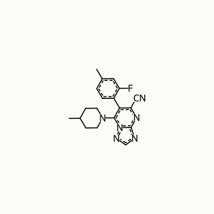 Cc1ccc(-c2c(C#N)nc3ncnn3c2N2CCC(C)CC2)c(F)c1